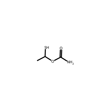 CC(S)OC(N)=O